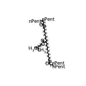 CCCCCC(CCCCC)CC(=O)OCCCCCCCCCCC(CCCCCCCCOC(=O)CC(CCCCC)CCCCC)C(=O)OCCCN(C)C